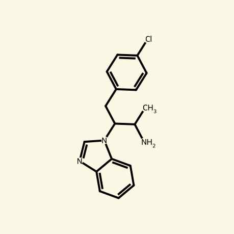 CC(N)C(Cc1ccc(Cl)cc1)n1cnc2ccccc21